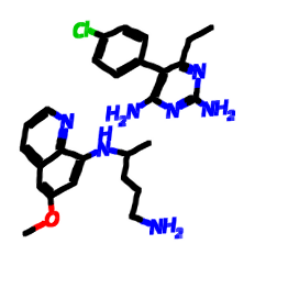 CCc1nc(N)nc(N)c1-c1ccc(Cl)cc1.COc1cc(NC(C)CCCN)c2ncccc2c1